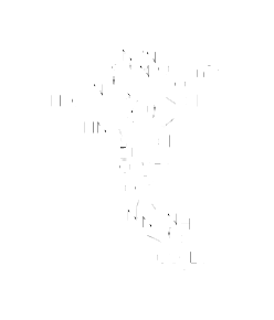 CC1CNC(=S)[S][Zn][S]C(=S)N1.CCCC1COC(Cn2cncn2)(c2ccc(Cl)cc2Cl)O1.CCOC(=O)c1cn2nc(OP(=S)(OCC)OCC)cc2nc1C